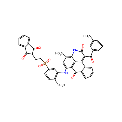 O=C(c1cccc(S(=O)(=O)O)c1)c1c2c3c(c(Nc4cc(S(=O)(=O)CCC5C(=O)c6ccccc6C5=O)ccc4S(=O)(=O)O)cc(S(=O)(=O)O)c3[nH]c1=O)C(=O)c1ccccc1-2